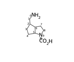 NCC1CCC2C1CCN2C(=O)O